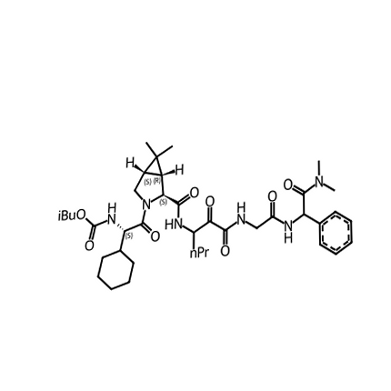 CCCC(NC(=O)[C@@H]1[C@@H]2[C@H](CN1C(=O)[C@@H](NC(=O)OCC(C)C)C1CCCCC1)C2(C)C)C(=O)C(=O)NCC(=O)NC(C(=O)N(C)C)c1ccccc1